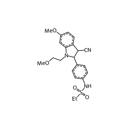 CCS(=O)(=O)Nc1ccc(C2C(C#N)c3ccc(OC)cc3N2CCOC)cc1